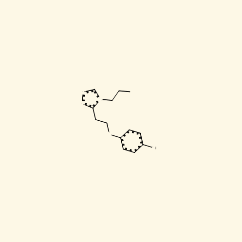 CCCn1cnnc1CCSc1ccc(N)cc1